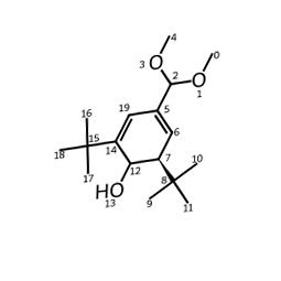 COC(OC)C1=C[C@@H](C(C)(C)C)C(O)C(C(C)(C)C)=C1